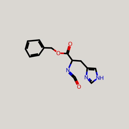 O=C=NC(Cc1c[nH]cn1)C(=O)OCc1ccccc1